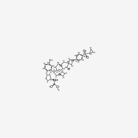 COC(=O)N[C@H]1CCC[C@@H]1C(CN1CCC1)(c1cccc(F)c1)C1CCN(CC2(CF)CN(c3ccc(S(=O)(=O)C4CC4)cc3)C2)CC1